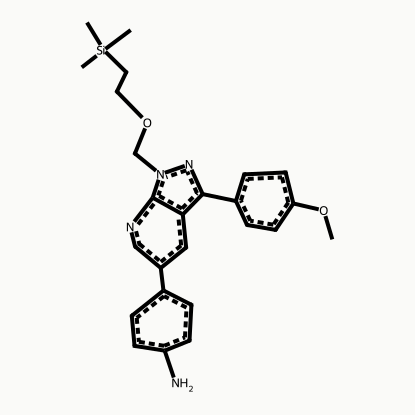 COc1ccc(-c2nn(COCC[Si](C)(C)C)c3ncc(-c4ccc(N)cc4)cc23)cc1